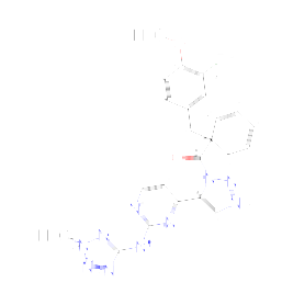 COc1ccc(CC2(C(=O)n3nncc3-c3ccnc(Nc4nnn(C)n4)n3)C=CC=CC2)cc1F